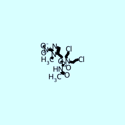 CC(=O)NP(=O)(OCc1cnc([N+](=O)[O-])n1C)N(CCCl)CCCl